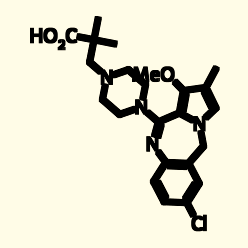 COc1c(C)cn2c1C(N1CCN(CC(C)(C)C(=O)O)CC1)=Nc1ccc(Cl)cc1C2